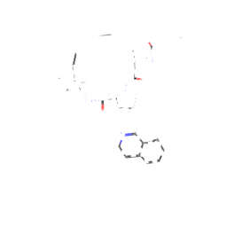 CCOC(=O)[C@@]12C[C@H]1/C=C\CCCCC[C@H](NC(=O)OC(C)(C)C)C(=O)N1C[C@H](Oc3nccc4ccccc34)C[C@H]1C(=O)N2